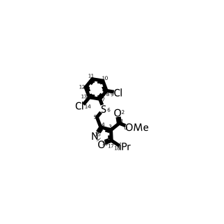 COC(=O)c1c(CSc2c(Cl)cccc2Cl)noc1C(C)C